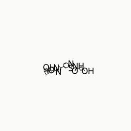 C[C@]1(O)C[C@@H](C(=O)Nc2nc3ccc(-c4cnc(CO[C@H]5CCC[C@@H]5O)nc4)cc3s2)C1